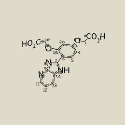 O=C(O)COc1ccc(-c2nc3ncccc3[nH]2)c(OCC(=O)O)c1